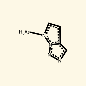 [AsH2]n1ccc2cnnn21